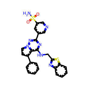 NS(=O)(=O)c1cncc(-c2nc(NCc3nc4ccccc4s3)c3c(-c4ccccc4)ccn3n2)c1